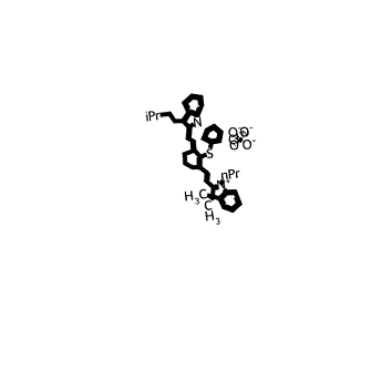 CCC[N+]1=C(C=CC2=C(Sc3ccccc3)C(=CC=C3N=c4ccccc4=C3CCC(C)C)CCC2)C(C)(C)c2ccccc21.[O-][Cl+3]([O-])([O-])[O-]